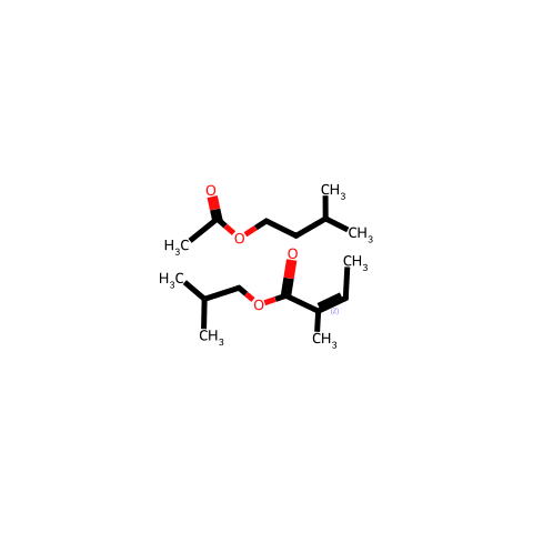 C/C=C(/C)C(=O)OCC(C)C.CC(=O)OCCC(C)C